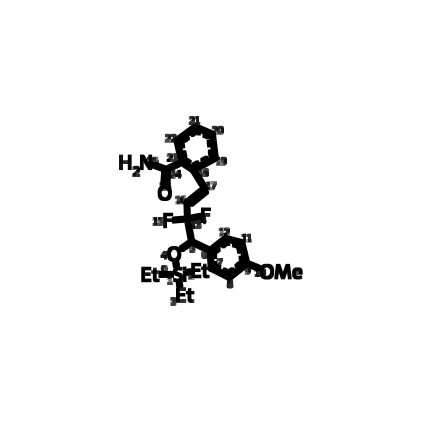 CC[Si](CC)(CC)OC(c1ccc(OC)cc1)C(F)(F)C=Cc1ccccc1C(N)=O